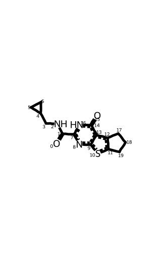 O=C(NCC1CC1)c1nc2sc3c(c2c(=O)[nH]1)CCC3